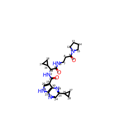 O=C(N[C@@H](C(=O)NCCC(=O)N1CCCC1)C1CC1)c1c[nH]c2ncc(C3CC3)nc12